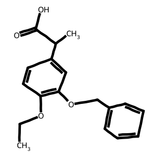 CCOc1ccc(C(C)C(=O)O)cc1OCc1ccccc1